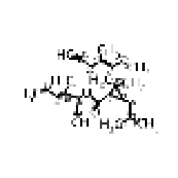 C#CC(OC(=O)[C@@H]1C(C=C(C)C)C1(C)C)/C(C)=C/CC.C#C[CH]/C(C)=C/CC